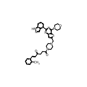 Cc1ccccc1/C=C/C(=O)CCC(=O)N1CCN(Cc2cc3nc(-c4cccc5[nH]ncc45)nc(N4CCOCC4)c3s2)CC1